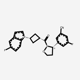 N#Cc1cc(F)cc([C@@H]2CCON2C(=O)[C@H]2C[C@@H](n3ccc4cc(F)ccc43)C2)c1